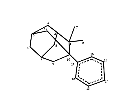 CC1(C)C2CC3CC(C2)CC1(c1ccccc1)C3